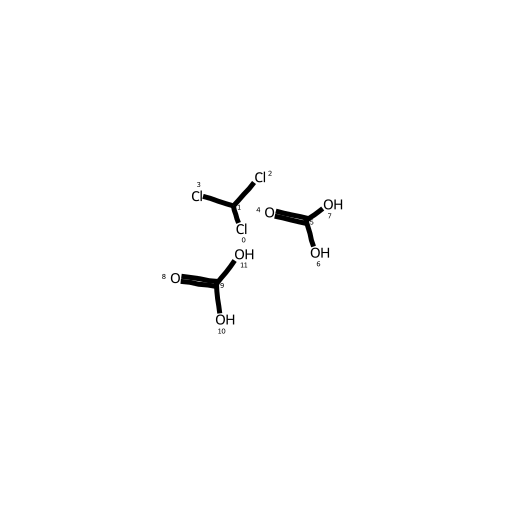 ClC(Cl)Cl.O=C(O)O.O=C(O)O